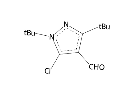 CC(C)(C)c1nn(C(C)(C)C)c(Cl)c1C=O